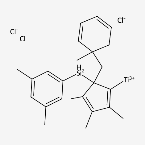 CC1=C(C)C(CC2(C)C=CC=CC2)([SiH2]c2cc(C)cc(C)c2)[C]([Ti+3])=C1C.[Cl-].[Cl-].[Cl-]